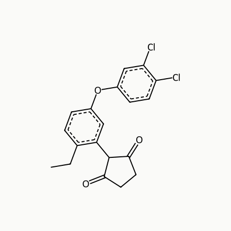 CCc1ccc(Oc2ccc(Cl)c(Cl)c2)cc1C1C(=O)CCC1=O